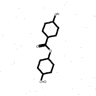 CCCC1CCC(C(=O)OC2CCC(C=O)CC2)CC1